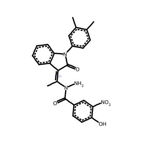 C/C(=C1/C(=O)N(c2ccc(C)c(C)c2)c2ccccc21)N(N)C(=O)c1ccc(O)c([N+](=O)[O-])c1